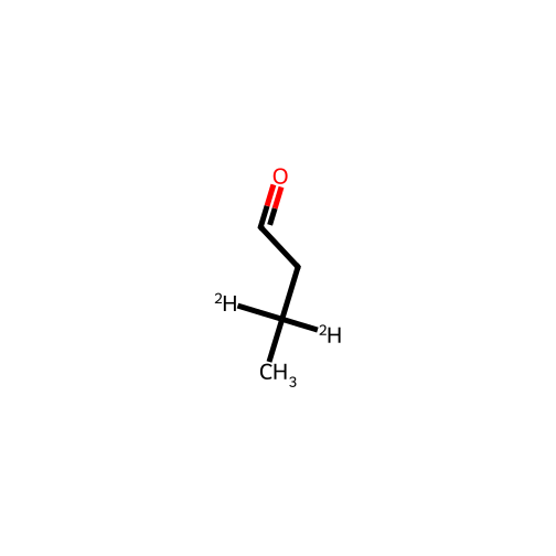 [2H]C([2H])(C)CC=O